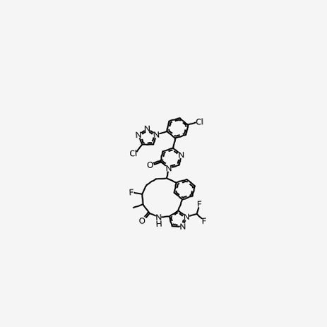 CC1C(=O)Nc2cnn(C(F)F)c2-c2cccc(c2)C(n2cnc(-c3cc(Cl)ccc3-n3cc(Cl)nn3)cc2=O)CCC1F